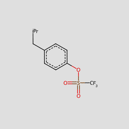 CC(C)Cc1ccc(OS(=O)(=O)C(F)(F)F)cc1